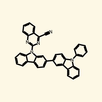 N#Cc1nc(-n2c3ccccc3c3ccc(-c4ccc5c(c4)c4ccccc4n5-c4ccccc4)cc32)nc2ccccc12